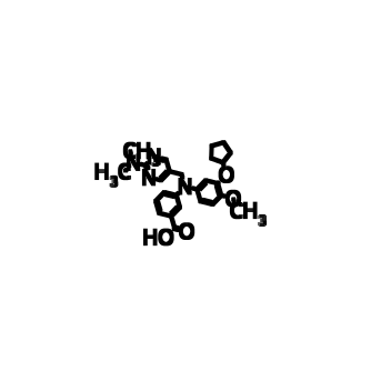 COc1ccc(N(Cc2cnc(N(C)C)nc2)c2cccc(C(=O)O)c2)cc1OC1CCCC1